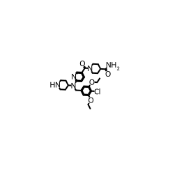 CCOc1cc(CN(c2ccc(C(=O)N3CCC(C(N)=O)CC3)cn2)C2CCNCC2)cc(OCC)c1Cl